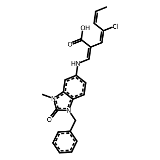 C\C=C/C(Cl)=C\C(=C\Nc1ccc2c(c1)n(C)c(=O)n2Cc1ccccc1)C(=O)O